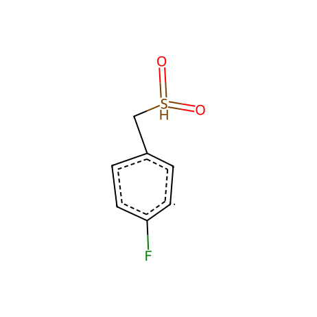 O=[SH](=O)Cc1c[c]c(F)cc1